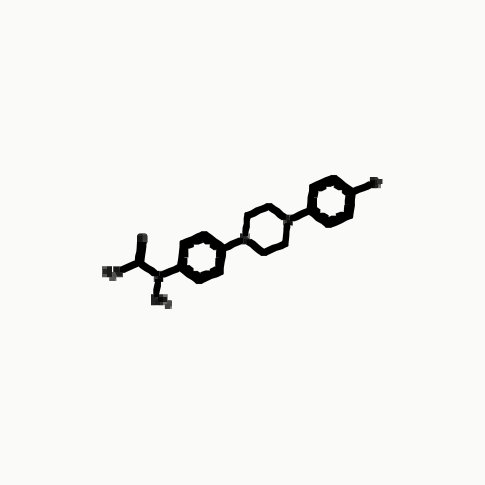 NC(=O)N(N)c1ccc(N2CCN(c3ccc(Br)cc3)CC2)cc1